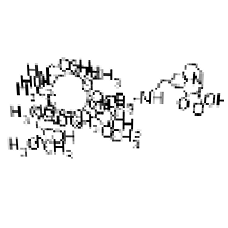 CC[C@@H]1OC(=O)[C@H](C)[C@H](O[C@@H]2C[C@](C)(OC)[C@H](OC(=O)CCNCCCc3cc4c5c(c3)c(=O)c(C(=O)O)cn5CCC4)[C@H](C)O2)[C@@H](C)[C@H](O[C@@H]2O[C@H](C)C[C@H](N(C)C)[C@@H]2O)[C@](C)(O)C[C@H](C)/C(=N\O)[C@H](C)[C@H](O)[C@@]1(C)O